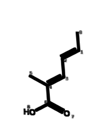 C/C=C/C=C(\C)C(=O)O